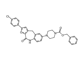 O=C1Nc2ccc(N3CCN(C(=O)OCc4ccccc4)CC3)cc2Cc2cc(-c3ccc(Cl)cc3)oc21